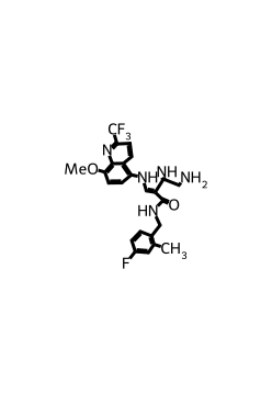 COc1ccc(N/C=C(\C(=N)CN)C(=O)NCc2ccc(F)cc2C)c2ccc(C(F)(F)F)nc12